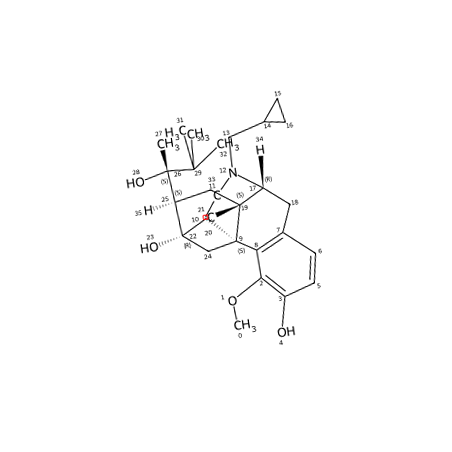 COc1c(O)ccc2c1[C@]13CCN(CC4CC4)[C@H](C2)[C@]12CC[C@@](O)(C3)[C@@H]([C@](C)(O)C(C)(C)C)C2